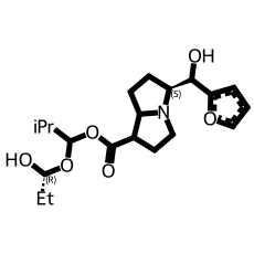 CC[C@H](O)OC(OC(=O)C1CCN2C1CC[C@H]2C(O)c1ccco1)C(C)C